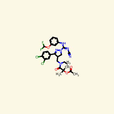 CCN(CC1CN(/C(=N\C#N)Nc2cccc(OC(F)F)c2)N=C1c1ccc(Cl)c(Cl)c1)C(=O)C(C)(C)OC(C)=O